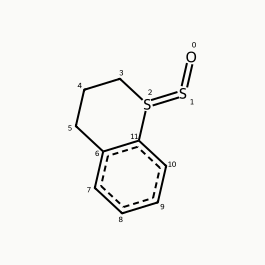 O=S=S1CCCc2ccccc21